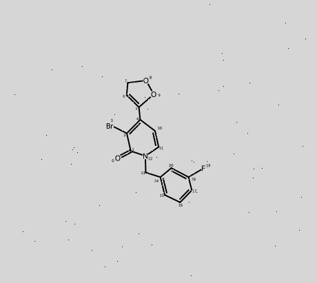 O=c1c(Br)c(C2=CCOO2)ccn1Cc1cccc(F)c1